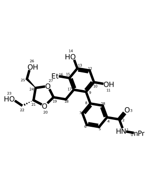 CCCNC(=O)c1cccc(-c2c(O)cc(O)c(CC)c2CC2O[C@H](CO)[C@@H](CO)O2)c1